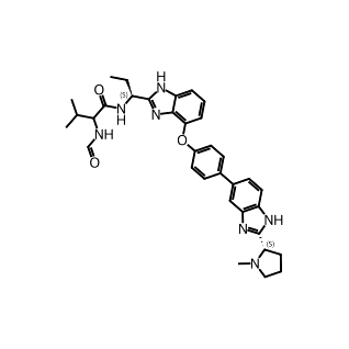 CC[C@H](NC(=O)C(NC=O)C(C)C)c1nc2c(Oc3ccc(-c4ccc5[nH]c([C@@H]6CCCN6C)nc5c4)cc3)cccc2[nH]1